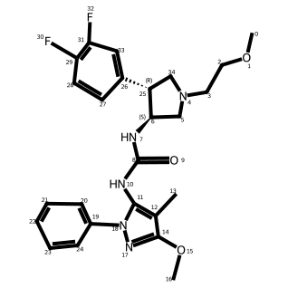 COCCN1C[C@@H](NC(=O)Nc2c(C)c(OC)nn2-c2ccccc2)[C@H](c2ccc(F)c(F)c2)C1